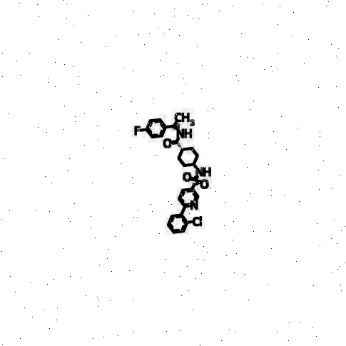 C[C@@H](NC(=O)[C@H]1CC[C@H](NS(=O)(=O)c2ccc(-c3ccccc3Cl)nc2)CC1)c1ccc(F)cc1